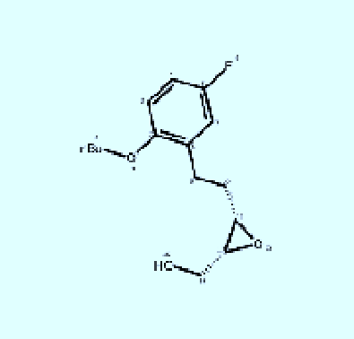 CCCCOc1ccc(F)cc1CC[C@@H]1O[C@@H]1CO